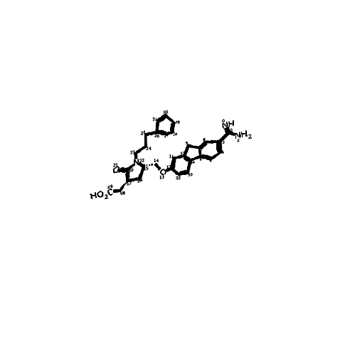 N=C(N)c1ccc2c(c1)Cc1cc(OC[C@@H]3C[C@@H](CC(=O)O)C(=O)N3CCCc3ccccc3)ccc1-2